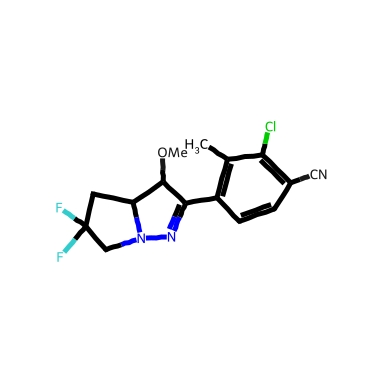 COC1C(c2ccc(C#N)c(Cl)c2C)=NN2CC(F)(F)CC12